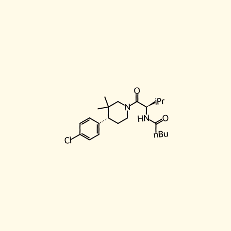 CCCCC(=O)N[C@@H](C(=O)N1CC[C@H](c2ccc(Cl)cc2)C(C)(C)C1)C(C)C